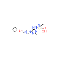 CCc1nc(Nc2cc(N3CCN(CCOCc4ccccc4)CC3)nc(C)n2)sc1C(=O)O